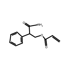 C=CC(=O)OCC(C(N)=O)c1ccccc1